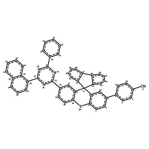 N#Cc1ccc(-c2ccc3c(c2)C2(c4cc(-c5nc(-c6ccccc6)nc(-c6cccc7ccccc67)n5)ccc4S3)c3ccccc3-c3ccccc32)cc1